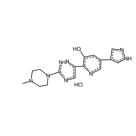 CN1CCN(c2ncc(-c3ncc(-c4cn[nH]c4)cc3O)nn2)CC1.Cl